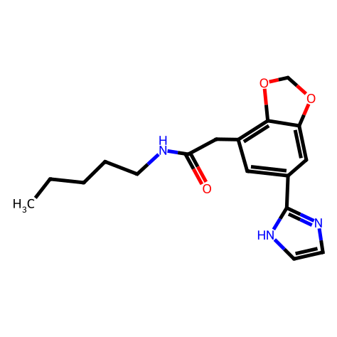 CCCCCNC(=O)Cc1cc(-c2ncc[nH]2)cc2c1OCO2